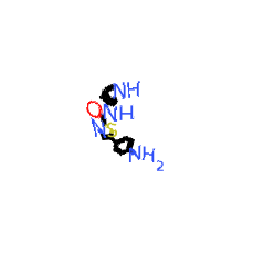 Nc1ccc(-c2cnc(C(=O)NC3CC4CNC3C4)s2)cc1